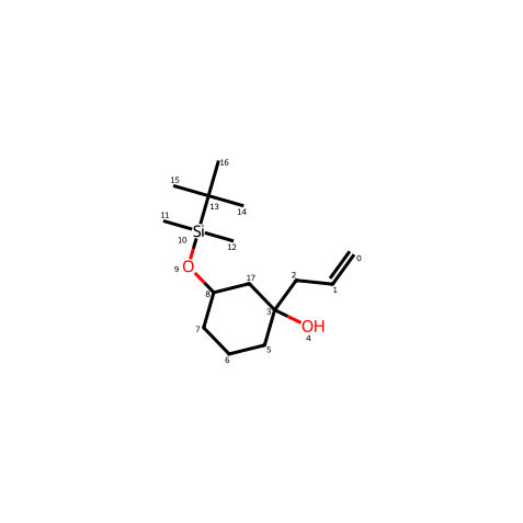 C=CCC1(O)CCCC(O[Si](C)(C)C(C)(C)C)C1